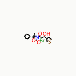 C[C@@H]1[C@@H](c2ccccc2)OC(=O)N1C(=O)C(Br)C(O)c1ccsc1